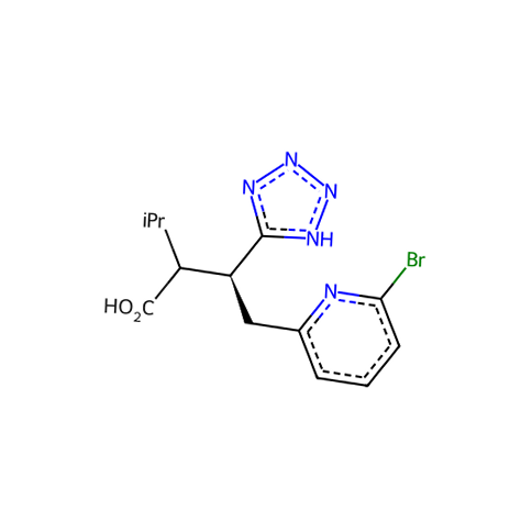 CC(C)C(C(=O)O)[C@H](Cc1cccc(Br)n1)c1nnn[nH]1